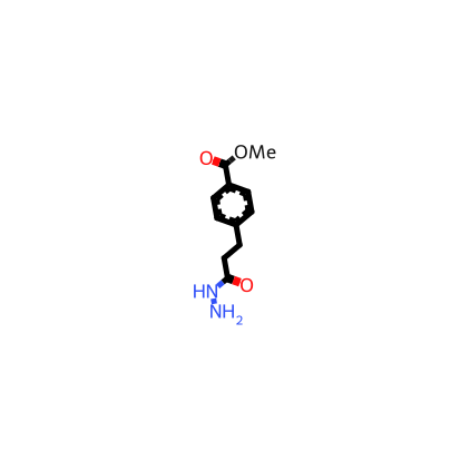 COC(=O)c1ccc(CCC(=O)NN)cc1